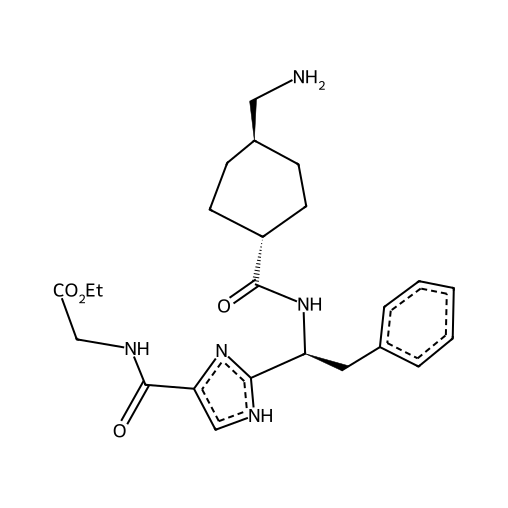 CCOC(=O)CNC(=O)c1c[nH]c([C@H](Cc2ccccc2)NC(=O)[C@H]2CC[C@H](CN)CC2)n1